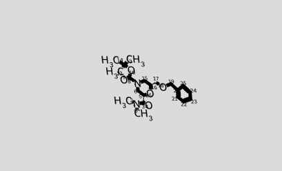 CN(C)C(=O)[C@@H]1CN(C(=O)OC(C)(C)C)C[C@H](COCc2ccccc2)O1